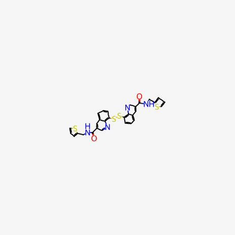 O=C(NCc1cccs1)c1cnc2c(SSc3cccc4cc(C(=O)NCc5cccs5)cnc34)cccc2c1